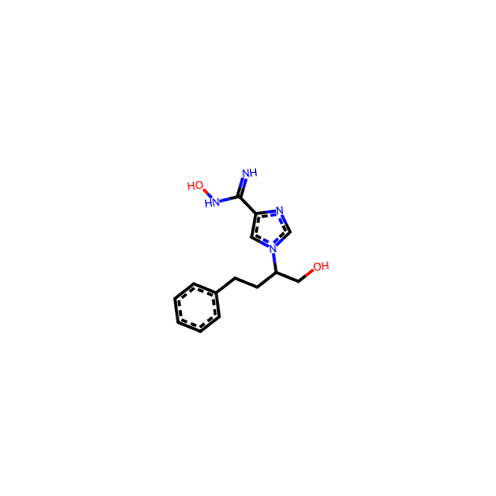 N=C(NO)c1cn(C(CO)CCc2ccccc2)cn1